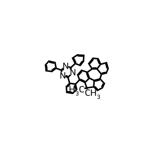 CC1(C)c2cccc3c2-c2c(ccc(-c4ccccc4-c4nc(-c5ccccc5)nc(-c5ccccc5)n4)c21)-c1cccc2cccc-3c12